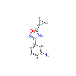 Ic1cccc(-c2noc(C3CC3)n2)c1